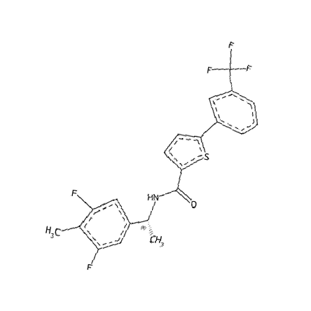 Cc1c(F)cc([C@@H](C)NC(=O)c2ccc(-c3cccc(C(F)(F)F)c3)s2)cc1F